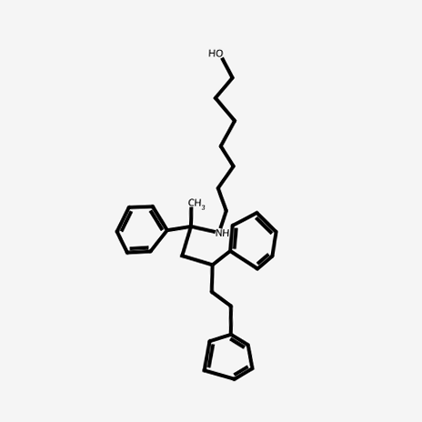 CC(CC(CCc1ccccc1)c1ccccc1)(NCCCCCCCO)c1ccccc1